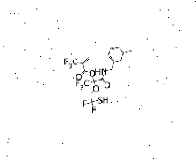 C=C(C(=O)OC(OCC(F)(F)S)(C(=O)NCC1=CC=CC(C)C1)C(F)(F)F)C(F)(F)F